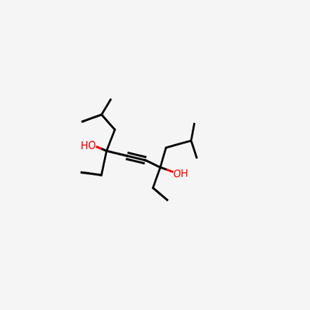 CCC(O)(C#CC(O)(CC)CC(C)C)CC(C)C